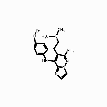 CCOc1ccc(Nc2c(CCN(C)C)c(N)nn3ccnc23)cc1